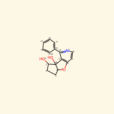 OC1CCC2Oc3ccnc(-c4ccccc4)c3C12O